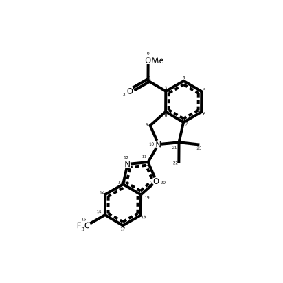 COC(=O)c1cccc2c1CN(c1nc3cc(C(F)(F)F)ccc3o1)C2(C)C